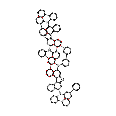 c1ccc(-c2cccc(N(c3ccccc3-c3ccccc3)c3cc4oc5cc(N(c6cccc(-c7cccc(-c8ccc9c(c8)c(N(c8ccccc8-c8ccccc8)c8ccccc8-c8ccccc8)cc8oc%10cc(N(c%11ccccc%11-c%11ccccc%11)c%11ccccc%11-c%11ccccc%11)c%11ccccc%11c%10c89)c7)c6)c6ccccc6-c6ccccc6)c6ccccc6c5c4c4ccccc34)c2)cc1